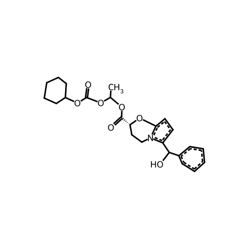 CC(OC(=O)OC1CCCCC1)OC(=O)[C@H]1CCn2c(ccc2C(O)c2ccccc2)O1